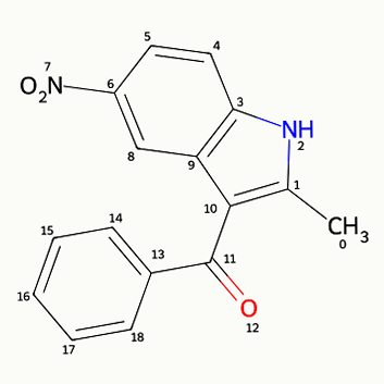 Cc1[nH]c2ccc([N+](=O)[O-])cc2c1C(=O)c1ccccc1